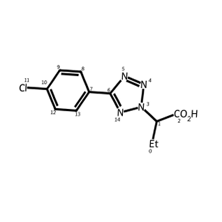 CCC(C(=O)O)n1nnc(-c2ccc(Cl)cc2)n1